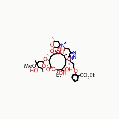 CCOC(=O)c1ccccc1OCCCn1cc(CCN(C)[C@H]2C[C@@H](C)O[C@@H](O[C@@H]3[C@@H](C)[C@H](O[C@H]4C[C@@](C)(OC)[C@@H](O)[C@H](C)O4)[C@@H](C)C(=O)O[C@H](CC)C(C)(O)[C@H](O)[C@H](C)C(=O)[C@H](C)C[C@@]3(C)O)[C@@H]2O)nn1